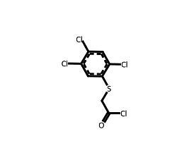 O=C(Cl)CSc1cc(Cl)c(Cl)cc1Cl